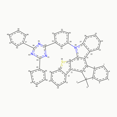 CC1(C)c2ccccc2-c2c1c1c3ccccc3sc1c1c2c2ccccc2n1-c1cccc(-c2nc(-c3ccccc3)nc(-c3ccccc3)n2)c1